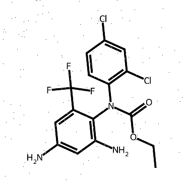 CCOC(=O)N(c1ccc(Cl)cc1Cl)c1c(N)cc(N)cc1C(F)(F)F